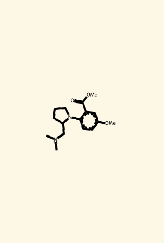 COC(=O)c1cc(OC)ccc1N1CCCC1CN(C)C